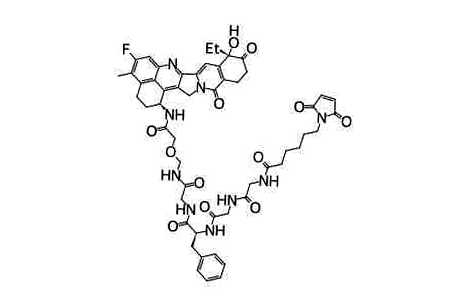 CC[C@@]1(O)C(=O)CCc2c1cc1n(c2=O)Cc2c-1nc1cc(F)c(C)c3c1c2[C@@H](NC(=O)COCNC(=O)CNC(=O)[C@H](Cc1ccccc1)NC(=O)CNC(=O)CNC(=O)CCCCCN1C(=O)C=CC1=O)CC3